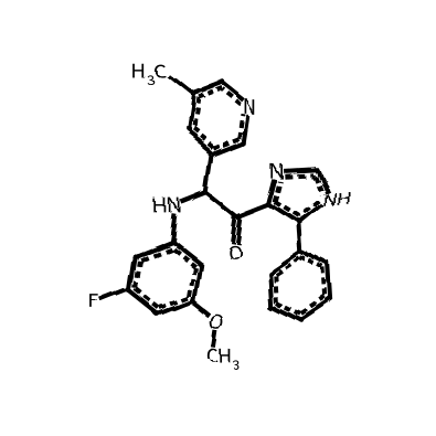 COc1cc(F)cc(NC(C(=O)c2nc[nH]c2-c2ccccc2)c2cncc(C)c2)c1